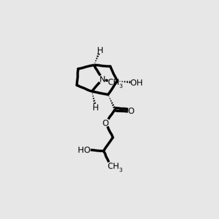 CC(O)COC(=O)[C@@H]1[C@H]2CC[C@@H](C[C@@H]1O)N2C